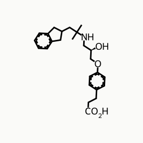 CC(C)(CC1Cc2ccccc2C1)NC[C@@H](O)COc1ccc(CCC(=O)O)cc1